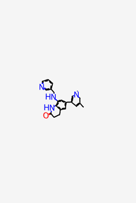 CC1=CC(c2cc3c(c(NCc4cccnc4)c2)NC(=O)CC3)=CN(C)C1